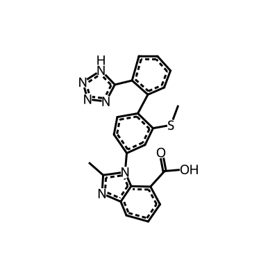 CSc1cc(-n2c(C)nc3cccc(C(=O)O)c32)ccc1-c1ccccc1-c1nnn[nH]1